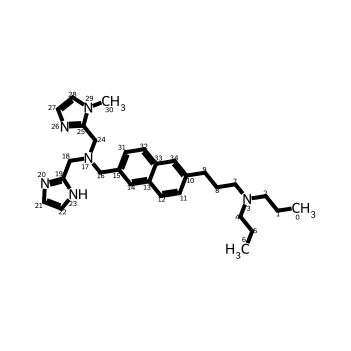 CCCN(CCC)CCCc1ccc2cc(CN(Cc3ncc[nH]3)Cc3nccn3C)ccc2c1